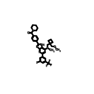 COCC1(CN(C)c2cc(-c3cc(F)cc(C(F)(F)F)c3)nc3nc(-c4ccc(C(=O)N5CCCCC5)cc4)[nH]c23)CCC1